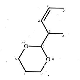 C/C=C\C(C)C1OCCCO1